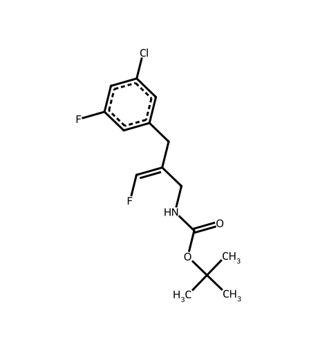 CC(C)(C)OC(=O)NCC(=CF)Cc1cc(F)cc(Cl)c1